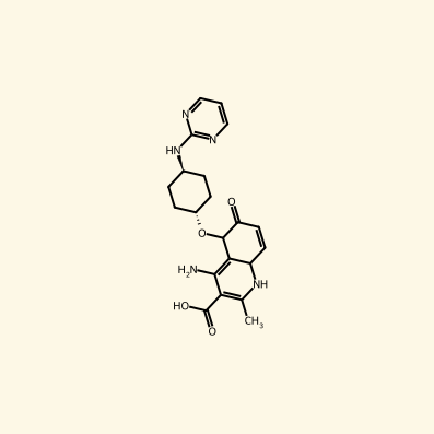 CC1=C(C(=O)O)C(N)=C2C(C=CC(=O)C2O[C@H]2CC[C@H](Nc3ncccn3)CC2)N1